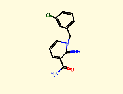 N=c1c(C(N)=O)cccn1Cc1cccc(Cl)c1